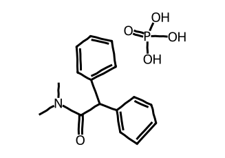 CN(C)C(=O)C(c1ccccc1)c1ccccc1.O=P(O)(O)O